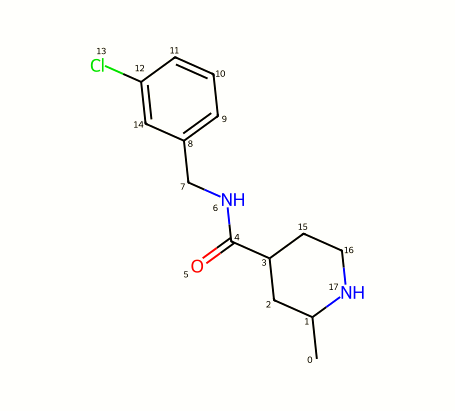 CC1CC(C(=O)NCc2cccc(Cl)c2)CCN1